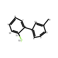 Cc1[c]ccc(-c2ccccc2F)c1